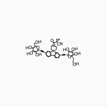 N#CC1(C(=O)N2CCC3(CC2)c2cc(C#C[C@H]4O[C@H](CO)[C@@H](O)[C@H](O)[C@@H]4O)ccc2-c2ccc(C#C[C@H]4O[C@H](CCO)[C@@H](O)[C@H](O)[C@@H]4O)cc23)CC1